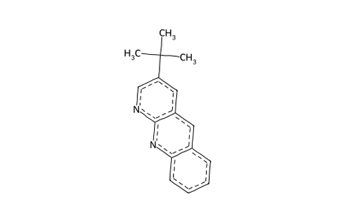 CC(C)(C)c1cnc2nc3ccccc3cc2c1